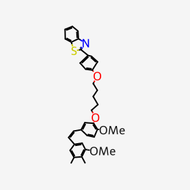 COc1ccc(/C=C\c2cc(C)c(C)c(OC)c2)cc1OCCCCCOc1ccc(-c2nc3ccccc3s2)cc1